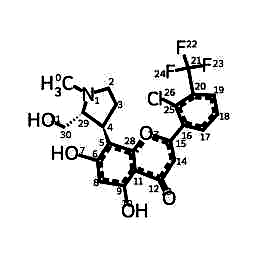 CN1CC[C@@H](c2c(O)cc(O)c3c(=O)cc(-c4cccc(C(F)(F)F)c4Cl)oc23)[C@@H]1CO